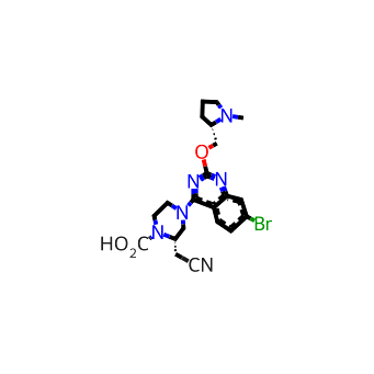 CN1CCC[C@H]1COc1nc(N2CCN(C(=O)O)[C@@H](CC#N)C2)c2ccc(Br)cc2n1